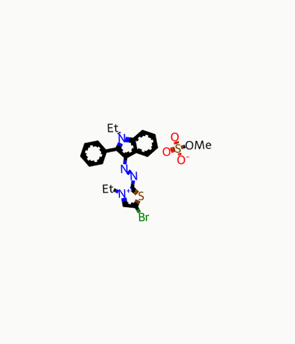 CCn1c(-c2ccccc2)c(N=Nc2sc(Br)c[n+]2CC)c2ccccc21.COS(=O)(=O)[O-]